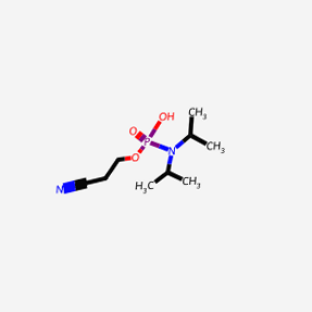 CC(C)N(C(C)C)P(=O)(O)OCCC#N